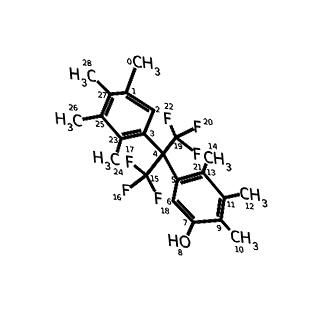 Cc1cc(C(c2cc(O)c(C)c(C)c2C)(C(F)(F)F)C(F)(F)F)c(C)c(C)c1C